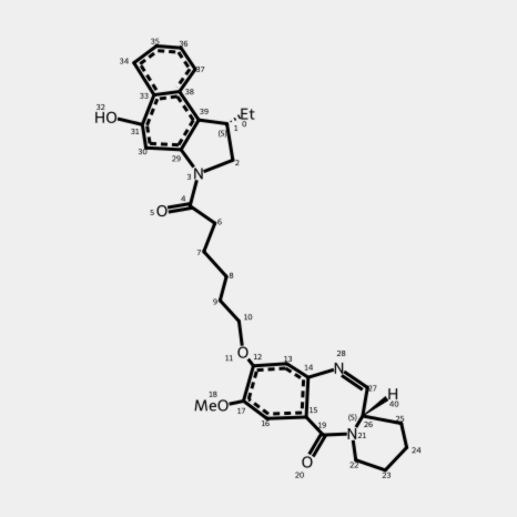 CC[C@@H]1CN(C(=O)CCCCCOc2cc3c(cc2OC)C(=O)N2CCCC[C@H]2C=N3)c2cc(O)c3ccccc3c21